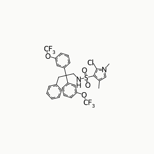 Cc1cn(C)c(Cl)c1S(=O)(=O)NCC(Cc1ccccc1)(c1cccc(OC(F)(F)F)c1)c1cccc(OC(F)(F)F)c1